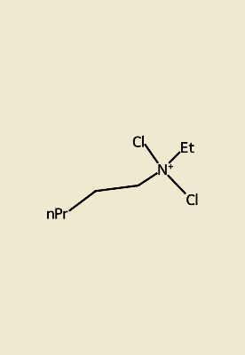 CCCCC[N+](Cl)(Cl)CC